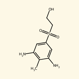 Cc1c(N)cc(S(=O)(=O)CCO)cc1N